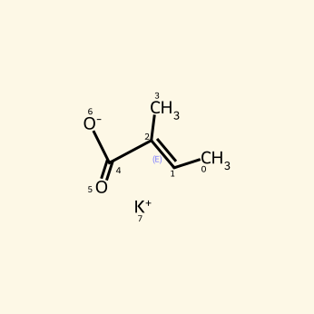 C/C=C(\C)C(=O)[O-].[K+]